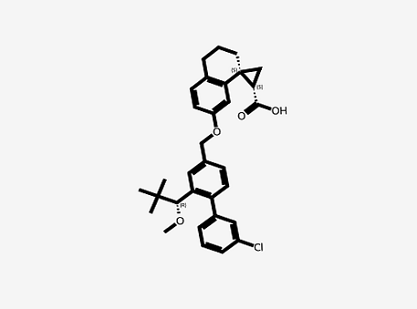 CO[C@@H](c1cc(COc2ccc3c(c2)[C@@]2(CCC3)C[C@@H]2C(=O)O)ccc1-c1cccc(Cl)c1)C(C)(C)C